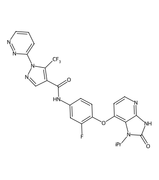 CC(C)n1c(=O)[nH]c2nccc(Oc3ccc(NC(=O)c4cnn(-c5cccnn5)c4C(F)(F)F)cc3F)c21